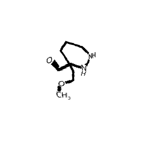 COCC1(C=O)CCCNN1